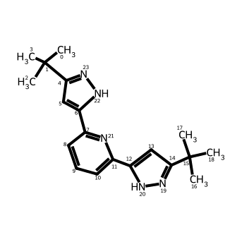 CC(C)(C)c1cc(-c2cccc(-c3cc(C(C)(C)C)n[nH]3)n2)[nH]n1